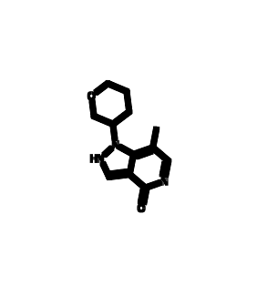 Cc1cnc(=O)c2c[nH]n(C3CCCOC3)c1-2